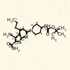 CCCc1cc(N2CCC(NC(=O)OC(C)(C)C)CC2)nc2sc(C(N)=O)c(N)c12